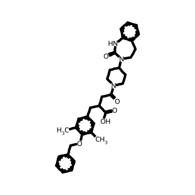 Cc1cc(CC(CC(=O)N2CCC(N3CCc4ccccc4NC3=O)CC2)C(=O)O)cc(C)c1OCc1ccccc1